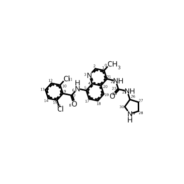 Cc1cnc2c(NC(=O)c3c(Cl)cccc3Cl)cccc2c1NC(=O)NC1CCNC1